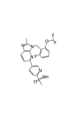 Cc1nc2ccc(-c3ccc(S(C)(=N)=O)nc3)nc2n1Cc1c(F)cccc1OC(F)F